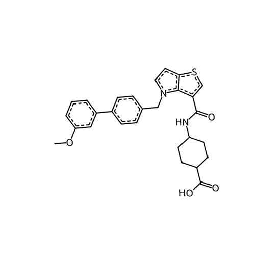 COc1cccc(-c2ccc(Cn3ccc4scc(C(=O)NC5CCC(C(=O)O)CC5)c43)cc2)c1